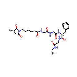 CC(C)CNC(=O)CNC(=O)[C@H](Cc1ccccc1)NC(=O)CNC(=O)CNC(=O)CCCCCN1C(=O)CC(C(C)C)C1=O